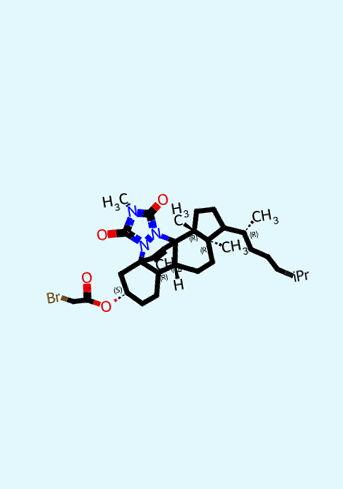 CC(C)CCC[C@@H](C)C1CC[C@@]2(C)C34C=CC5(C[C@@H](OC(=O)CBr)CC[C@]5(C)[C@H]3CC[C@]12C)n1c(=O)n(C)c(=O)n14